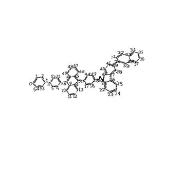 c1ccc(-c2ccc(-c3c4ccccc4c(-c4ccc(-n5c6ccccc6c6cc(-c7ccc8ccccc8c7)ccc65)cc4)c4ccccc34)cc2)cc1